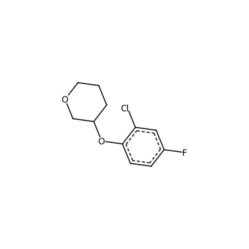 Fc1ccc(OC2CCCOC2)c(Cl)c1